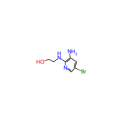 Nc1cc(Br)cnc1NCCO